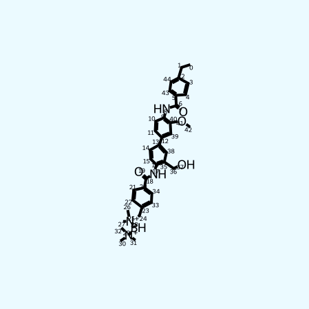 CCc1ccc(C(=O)Nc2ccc(-c3ccc(NC(=O)c4ccc(C[N+](C)(C)B[N+](C)(C)C)cc4)c(CO)c3)cc2OC)cc1